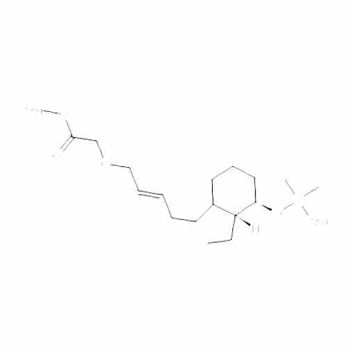 C[C@H](/C=C/COCC(=O)OC(C)(C)C)[C@H]1CC[C@H]2[C@H](O[Si](C)(C)C(C)(C)C)CCC[C@]12C